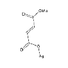 COC(=O)/C=C/C(=O)[O][Ag]